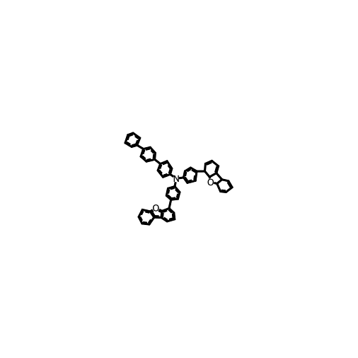 C1=CC2OC3C(=CC=CC3c3ccc(N(c4ccc(-c5ccc(-c6ccccc6)cc5)cc4)c4ccc(-c5cccc6c5oc5ccccc56)cc4)cc3)C2C=C1